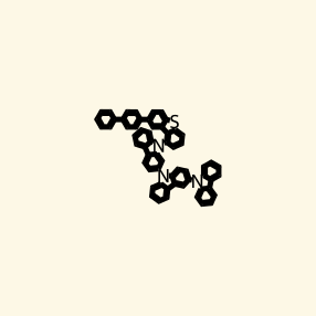 c1ccc(-c2ccc(-c3ccc4sc5cccc(-n6c7ccccc7c7ccc(-n8c9ccccc9c9cc(-n%10c%11ccccc%11c%11ccccc%11%10)ccc98)cc76)c5c4c3)cc2)cc1